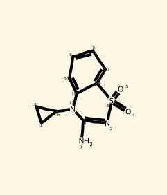 NC1=NS(=O)(=O)c2ccccc2N1C1CC1